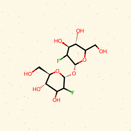 OCC1O[C@H](O[C@H]2O[C@H](CO)[C@@H](O)C(O)C2F)C(F)[C@@H](O)[C@@H]1O